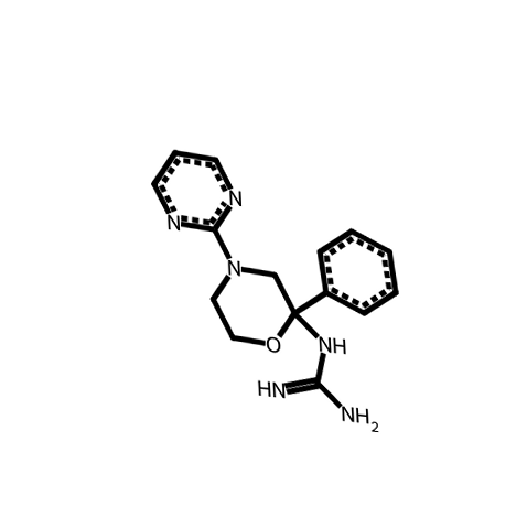 N=C(N)NC1(c2ccccc2)CN(c2ncccn2)CCO1